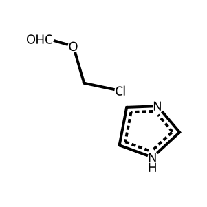 O=COCCl.c1c[nH]cn1